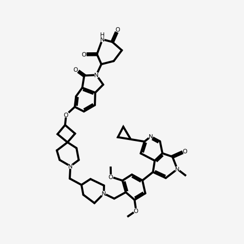 COc1cc(-c2cn(C)c(=O)c3cnc(C4CC4)cc23)cc(OC)c1CN1CCC(CN2CCC3(CC2)CC(Oc2ccc4c(c2)C(=O)N(C2CCC(=O)NC2=O)C4)C3)CC1